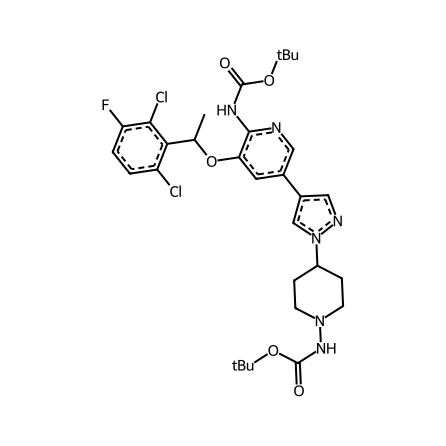 CC(Oc1cc(-c2cnn(C3CCN(NC(=O)OC(C)(C)C)CC3)c2)cnc1NC(=O)OC(C)(C)C)c1c(Cl)ccc(F)c1Cl